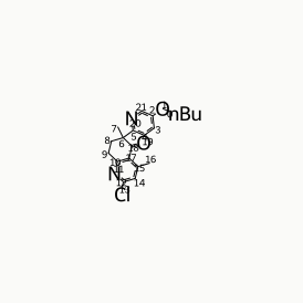 CCCCOc1ccc(C2(C)CCc3nc(Cl)cc(C)c3C2=O)nc1